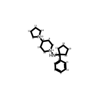 c1ccc(C2(NN3CCC(N4CCCC4)CC3)CCCC2)cc1